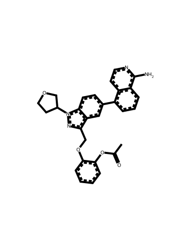 CC(=O)Oc1ccccc1OCc1nn(C2CCOC2)c2ccc(-c3cccc4c(N)nccc34)cc12